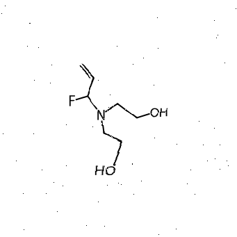 C=CC(F)N(CCO)CCO